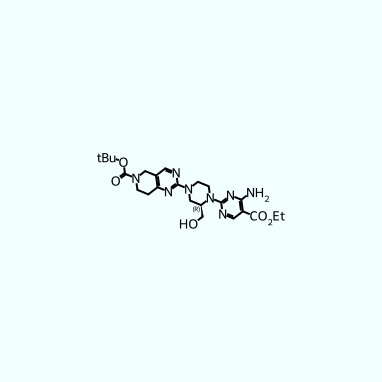 CCOC(=O)c1cnc(N2CCN(c3ncc4c(n3)CCN(C(=O)OC(C)(C)C)C4)C[C@@H]2CO)nc1N